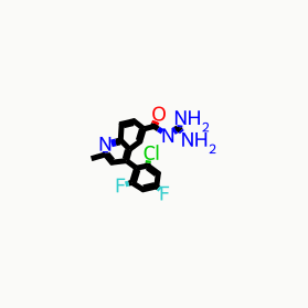 Cc1cc(-c2c(F)cc(F)cc2Cl)c2cc(C(=O)N=C(N)N)ccc2n1